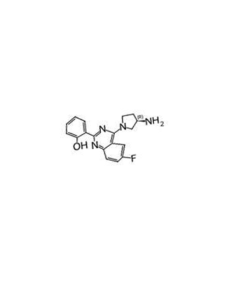 N[C@@H]1CCN(c2nc(-c3ccccc3O)nc3ccc(F)cc23)C1